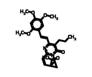 CCCc1c(/C=C/c2cc(OC)c(OC)cc2OC)nc2n(c1=O)C1CC1(C(=O)O)C=C2